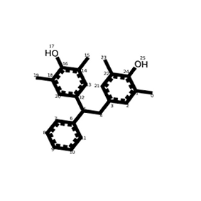 Cc1cc(CC(c2ccccc2)c2cc(C)c(O)c(C)c2)cc(C)c1O